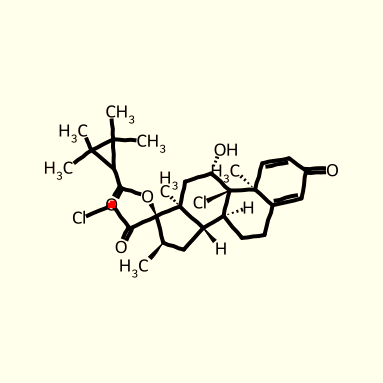 C[C@@H]1C[C@H]2[C@@H]3CCC4=CC(=O)C=C[C@]4(C)[C@@]3(Cl)[C@@H](O)C[C@]2(C)[C@@]1(OC(=O)C1C(C)(C)C1(C)C)C(=O)CCl